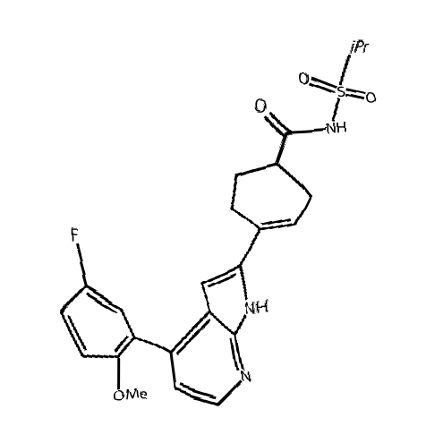 COc1ccc(F)cc1-c1ccnc2[nH]c(C3=CCC(C(=O)NS(=O)(=O)C(C)C)CC3)cc12